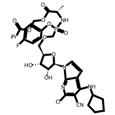 CC(C)C(=O)OCOC(=O)[C@H](C)NP(=O)(COC[C@H]1O[C@@H](n2ccc3c(NC4CCCC4)c(C#N)c(Cl)nc32)[C@H](O)[C@@H]1O)Oc1ccc(F)cc1